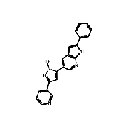 CCn1nc(-c2cccnc2)cc1-c1cnc2[nH]c(-c3ccccc3)cc2c1